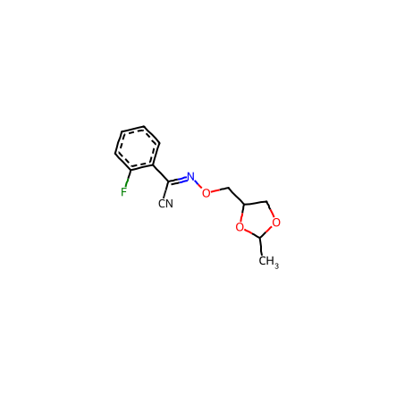 CC1OCC(CON=C(C#N)c2ccccc2F)O1